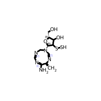 C=C1/N=C\N([C@@H]2O[C@H](CO)C(O)C2SS)C/N=C\N=C/1N